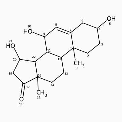 CC12CCC(O)CC1=CC(O)C1C2CCC2(C)C(=O)CC(O)C12